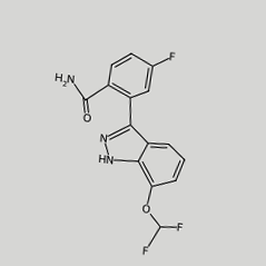 NC(=O)c1ccc(F)cc1-c1n[nH]c2c(OC(F)F)cccc12